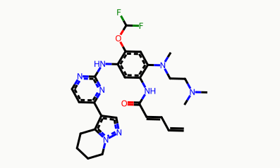 C=C/C=C/C(=O)Nc1cc(Nc2nccc(-c3cnn4c3CCCC4)n2)c(OC(F)F)cc1N(C)CCN(C)C